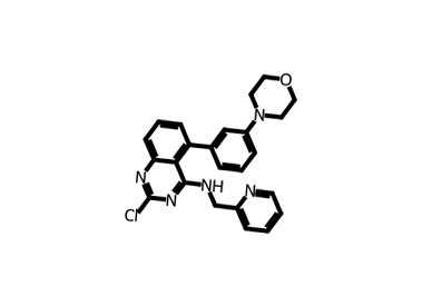 Clc1nc(NCc2ccccn2)c2c(-c3cccc(N4CCOCC4)c3)cccc2n1